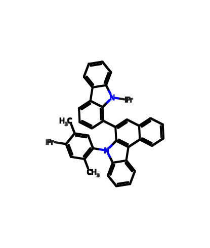 Cc1cc(-n2c3ccccc3c3c4ccccc4cc(-c4cccc5c6ccccc6n(C(C)C)c45)c32)c(C)cc1C(C)C